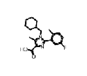 Cc1ccc(F)cc1-c1nc(C(=O)O)c(C)n1CC1CCCCC1